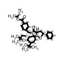 CC(C)OC(=O)c1ccc([C@@H](CCC(C)(C)C)N2C(=O)[C@@H]3C[C@@H](c4ccccc4)ON3C23CCC(C(C)(C)C)CC3)cc1